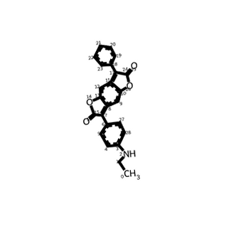 CCNc1ccc(C2=c3cc4c(cc3OC2=O)=C(c2ccccc2)C(=O)O4)cc1